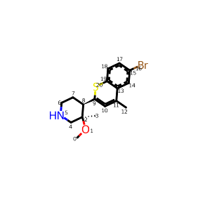 CO[C@@]1(C)CNCC[C@H]1C1=C=C(C)c2cc(Br)ccc2S1